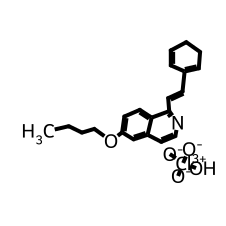 CCCCOc1ccc2c(C=CC3=CCCC=C3)nccc2c1.[O-][Cl+3]([O-])([O-])O